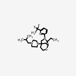 CCC(=O)N(CC1(N2CCN(CC(C)C)CC2)CCSCC1)c1cccc(C(F)(F)P)n1